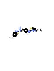 CCCC1CS/C(=N\c2ccc(CCNc3nc4ccc(C)cc4s3)cc2)N1